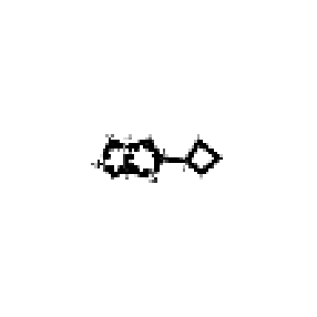 [c]1c(C2CCC2)sc2cncn12